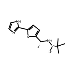 C[C@@H](N[S+]([O-])C(C)(C)C)c1ccc(-c2ncc[nH]2)s1